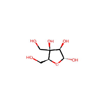 OC[C@@H]1O[C@@H](O)[C@H](O)[C@@]1(O)CO